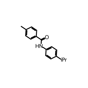 Cc1ccc(C(=O)Nc2ccc(C(C)C)cc2)cc1